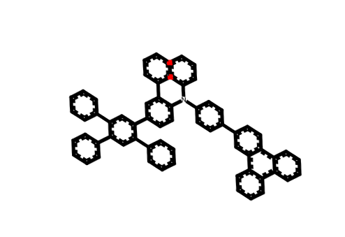 c1ccc(-c2cc(-c3ccccc3)c(-c3ccc(N(c4ccccc4)c4ccc(-c5ccc6c7ccccc7c7ccccc7c6c5)cc4)c(-c4ccccc4)c3)cc2-c2ccccc2)cc1